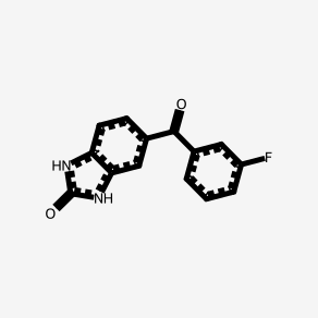 O=C(c1cccc(F)c1)c1ccc2[nH]c(=O)[nH]c2c1